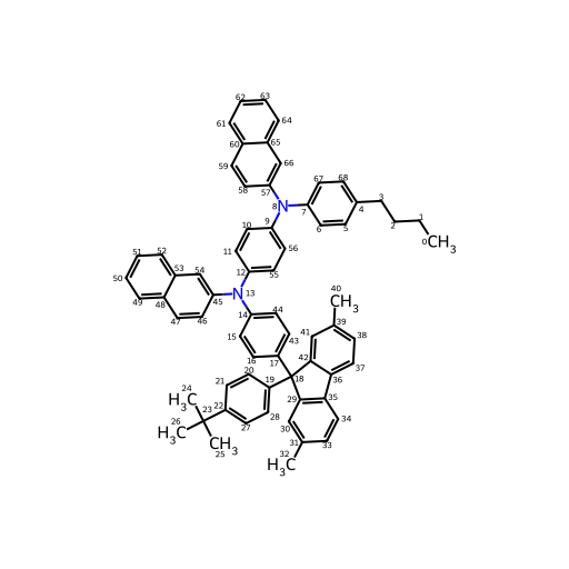 CCCCc1ccc(N(c2ccc(N(c3ccc(C4(c5ccc(C(C)(C)C)cc5)c5cc(C)ccc5-c5ccc(C)cc54)cc3)c3ccc4ccccc4c3)cc2)c2ccc3ccccc3c2)cc1